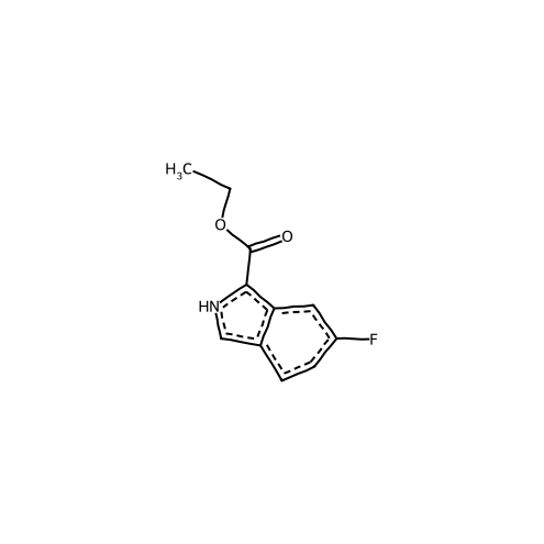 CCOC(=O)c1[nH]cc2ccc(F)cc12